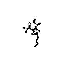 CCCCc1nc(N(C)C=O)c(C(=O)N(C)C)[nH]1